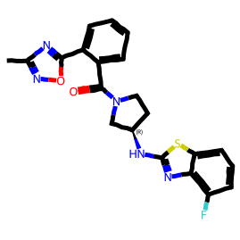 Cc1noc(-c2ccccc2C(=O)N2CC[C@@H](Nc3nc4c(F)cccc4s3)C2)n1